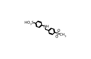 CS(=O)(=O)c1ccc(CNc2ccc(S(=O)(=O)O)cc2)cc1